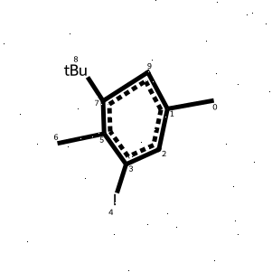 Cc1cc(I)c(C)c(C(C)(C)C)c1